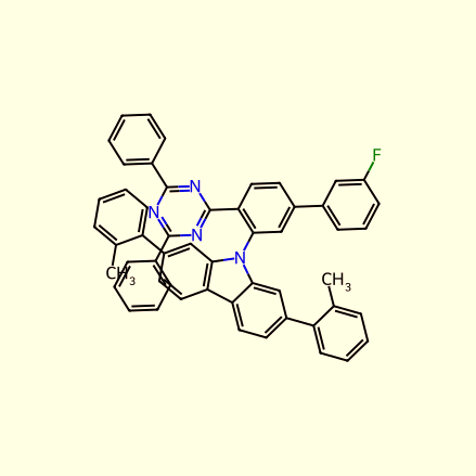 Cc1ccccc1-c1ccc2c3ccc(-c4ccccc4C)cc3n(-c3cc(-c4cccc(F)c4)ccc3-c3nc(-c4ccccc4)nc(-c4ccccc4)n3)c2c1